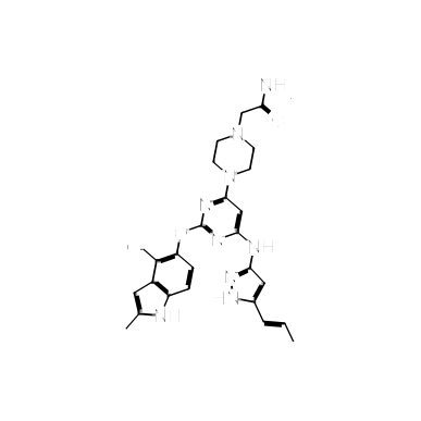 C/C=C/c1cc(Nc2cc(N3CCN(CC(N)=O)CC3)nc(Oc3ccc4[nH]c(C)cc4c3Cl)n2)n[nH]1